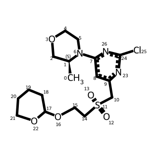 C[C@H]1COCCN1c1cc(CS(=O)(=O)CCOC2CCCCO2)nc(Cl)n1